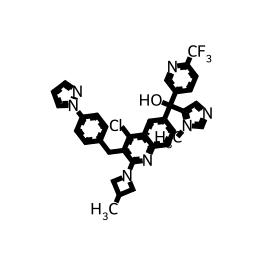 CC1CN(c2nc3ccc(C(O)(c4ccc(C(F)(F)F)nc4)c4cncn4C)cc3c(Cl)c2Cc2ccc(-n3cccn3)cc2)C1